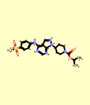 CC(C)OC(=O)N1CCC(n2ncc3c(Nc4ccc(S(C)(=O)=O)cc4)ncnc32)CC1